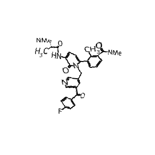 CNC(=O)c1cccc(-c2ccc(NC(=O)[C@H](C)NC)c(=O)n2Cc2cncc(C(=O)c3ccc(F)cc3)c2)c1C